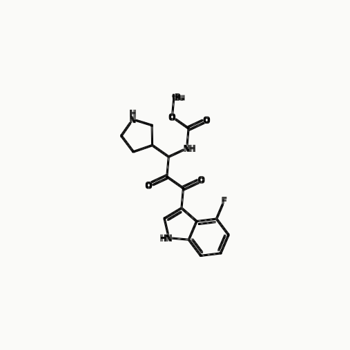 CC(C)(C)OC(=O)NC(C(=O)C(=O)c1c[nH]c2cccc(F)c12)C1CCNC1